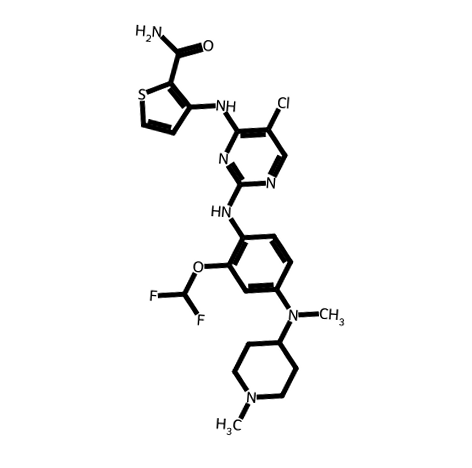 CN1CCC(N(C)c2ccc(Nc3ncc(Cl)c(Nc4ccsc4C(N)=O)n3)c(OC(F)F)c2)CC1